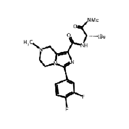 CNC(=O)[C@@H](NC(=O)c1nc(-c2ccc(F)c(F)c2)n2c1CN(C)CC2)C(C)(C)C